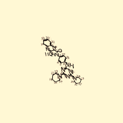 O=C(Nc1ccc(Nc2nc(N3CCCCC3)nc(N3CCCCC3)n2)cc1)c1nc2ccccc2nc1O